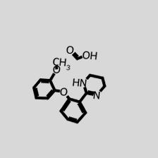 COc1ccccc1Oc1ccccc1C1=NCCCN1.O=CO